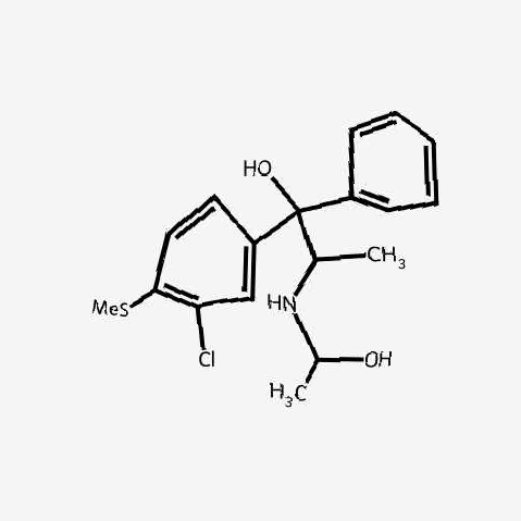 CSc1ccc(C(O)(c2ccccc2)C(C)NC(C)O)cc1Cl